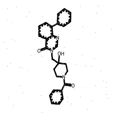 O=C(c1ccccc1)N1CCC(O)(Cn2cnc3c(-c4ccccc4)cccc3c2=O)CC1